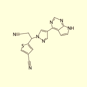 N#CCC(c1cc(C#N)cs1)n1cc(-c2ncnc3[nH]ccc23)cn1